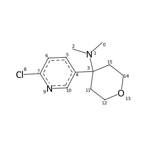 CN(C)C1(c2ccc(Cl)nc2)CCOCC1